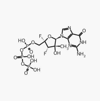 C[C@]1(O)[C@H](n2cnc3c(=O)[nH]c(N)nc32)O[C@](F)(COP(=O)(O)OP(=O)(O)OP(=O)(O)O)[C@H]1F